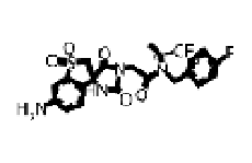 C[C@H](N(Cc1ccc(F)cc1)C(=O)CN1C(=O)NC2(CS(=O)(=O)c3cc(N)ccc32)C1=O)C(F)(F)F